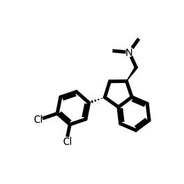 CN(C)C[C@@H]1C[C@@H](c2ccc(Cl)c(Cl)c2)c2ccccc21